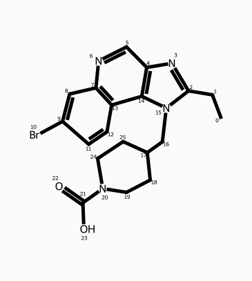 CCc1nc2cnc3cc(Br)ccc3c2n1CC1CCN(C(=O)O)CC1